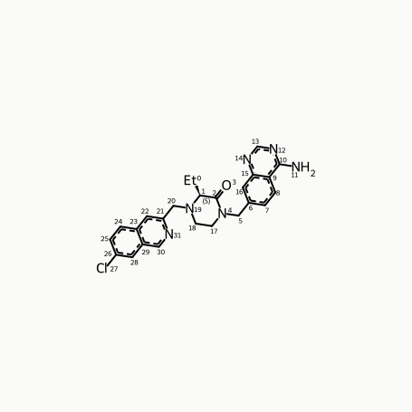 CC[C@H]1C(=O)N(Cc2ccc3c(N)ncnc3c2)CCN1Cc1cc2ccc(Cl)cc2cn1